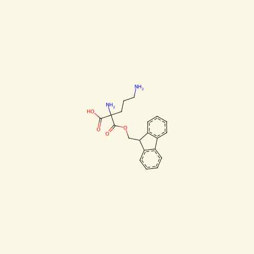 NCCCC(N)(C(=O)O)C(=O)OCC1c2ccccc2-c2ccccc21